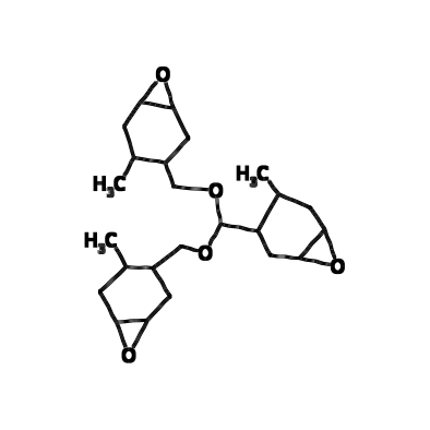 CC1CC2OC2CC1COC(OCC1CC2OC2CC1C)C1CC2OC2CC1C